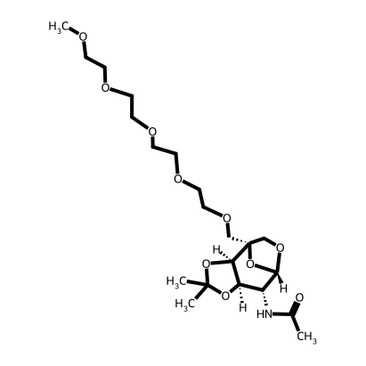 COCCOCCOCCOCCOC[C@]12CO[C@@H](O1)[C@H](NC(C)=O)[C@H]1OC(C)(C)O[C@H]12